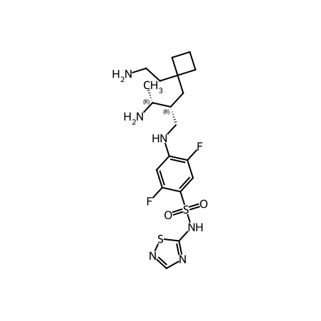 C[C@@H](N)[C@@H](CNc1cc(F)c(S(=O)(=O)Nc2ncns2)cc1F)CC1(CCN)CCC1